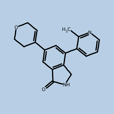 Cc1ncccc1-c1cc(C2=CCOCC2)cc2c1CNC2=O